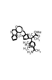 COC(=O)C(C)(C)C(C(/C=C\C(=C(/C)N)N(C)N)=C(C)C)c1ccc(C)c(CN2CCOc3cnc4ccccc4c3C2)c1